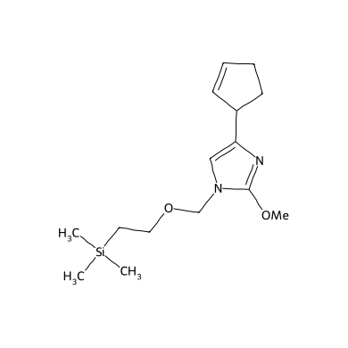 COc1nc(C2C=CCC2)cn1COCC[Si](C)(C)C